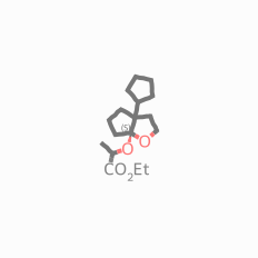 CCOC(=O)C(C)O[C@@]12CCCC1(C1CCCC1)CCO2